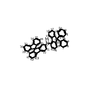 c1ccc(C2(c3ccccc3)c3ccccc3-c3c(Nc4ccc5c(c4)C4(c6ccccc6-c6ccccc64)c4ccccc4-5)cccc32)cc1